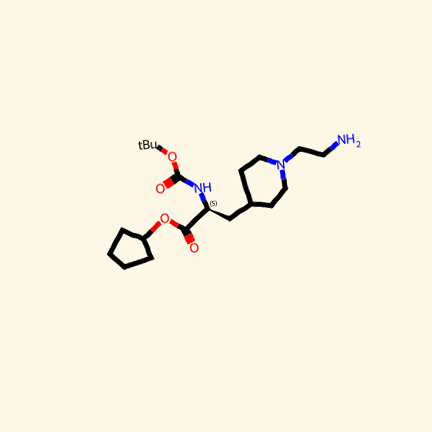 CC(C)(C)OC(=O)N[C@@H](CC1CCN(CCN)CC1)C(=O)OC1CCCC1